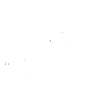 CC(C)(C)OC(=O)NC1CC2(c3ncc(Br)s3)CC1C2